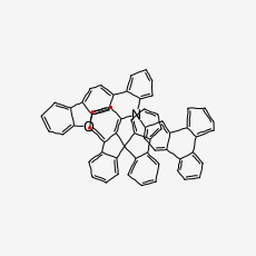 c1ccc(N(c2ccc3c4ccccc4c4ccccc4c3c2)c2cccc3c2C2(c4ccccc4-c4ccccc42)c2ccccc2-3)c(-c2ccc3c(c2)oc2ccccc23)c1